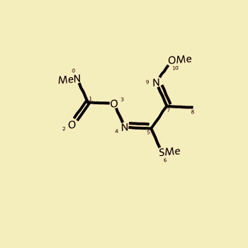 CNC(=O)ON=C(SC)C(C)=NOC